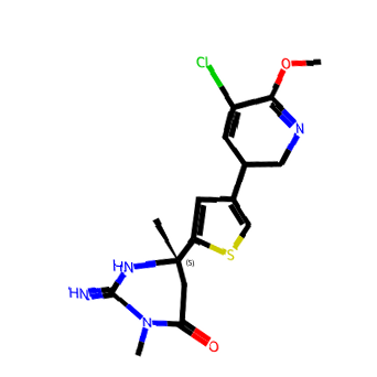 COC1=NCC(c2csc([C@]3(C)CC(=O)N(C)C(=N)N3)c2)C=C1Cl